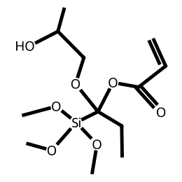 C=CC(=O)OC(CC)(OCC(C)O)[Si](OC)(OC)OC